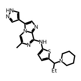 CCC(c1ccc(Nc2nc(C)cn3c(-c4cn[nH]c4)cnc23)s1)N1CCCCC1